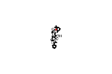 CC(C)C(C(=O)N1C(=O)OC(c2ccccc2)C1C)C(O)C1OC(C)(C)N(C(=O)OC(C)(C)C)[C@@H]1CC1CCCCC1